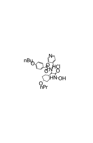 CCCCOc1ccc(S(=O)(=O)N(Cc2ccncc2)C(C(=O)NO)[C@H]2CC[C@H](OCCC)CC2)cc1.Cl